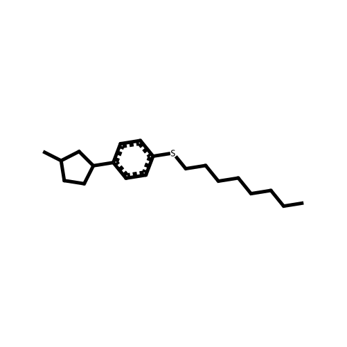 CCCCCCCCSc1ccc(C2CCC(C)C2)cc1